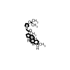 CC(C)Oc1ccn(CC(=O)[C@H]2CC[C@H]3[C@@H]4CC[C@@H]5C[C@](C)(O)CC[C@]5(C)[C@H]4CC[C@]23C)c1